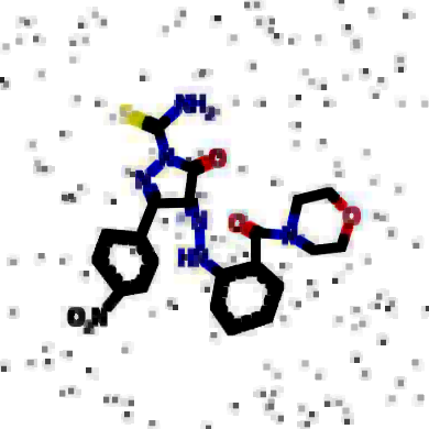 NC(=S)N1N=C(c2ccc([N+](=O)[O-])cc2)/C(=N\Nc2ccccc2C(=O)N2CCOCC2)C1=O